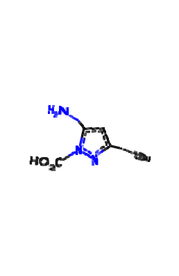 CC(C)(C)c1cc(N)n(C(=O)O)n1